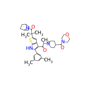 Cc1cc(C)cc(-c2[nH]c3sc(C(C)(C)C(=O)N4C5CCC4CC5)cc3c2C(=O)C(C)N2CCC(C(=O)N3CCOCC3)CC2)c1